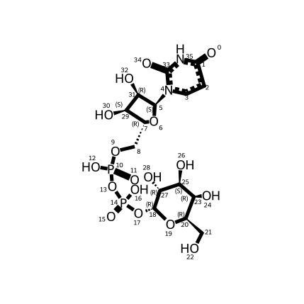 O=c1ccn([C@H]2O[C@H](COP(=O)(O)OP(=O)(O)O[C@H]3O[C@H](CO)[C@H](O)[C@H](O)[C@H]3O)[C@@H](O)[C@H]2O)c(=O)[nH]1